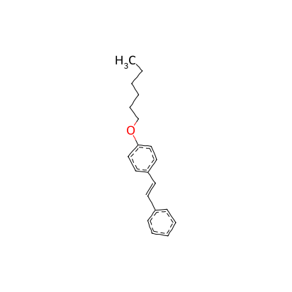 CCCCCCOc1ccc(C=Cc2ccccc2)cc1